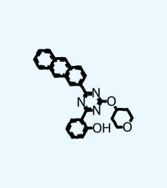 Oc1ccccc1-c1nc(OC2CCOCC2)nc(-c2ccc3cc4ccccc4cc3c2)n1